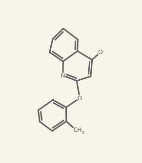 Cc1ccccc1Oc1cc([O])c2ccccc2n1